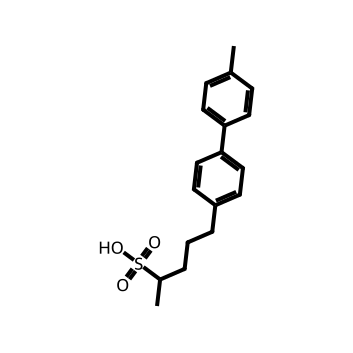 Cc1ccc(-c2ccc(CCCC(C)S(=O)(=O)O)cc2)cc1